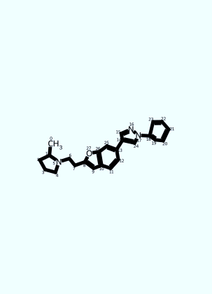 CC1CCCN1CCc1cc2ccc(-c3cnn(-c4ccccc4)c3)cc2o1